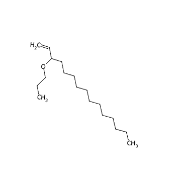 C=CC(CCCCCCCCCCCC)OCCC